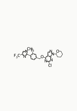 Cn1cc(C(F)(F)F)nc1-c1ccc(COc2nc(Cl)nc3c2cnn3C2CCCCO2)cc1F